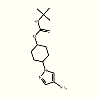 CC(C)(C)NC(=O)OC1CCC(n2cc(N)cn2)CC1